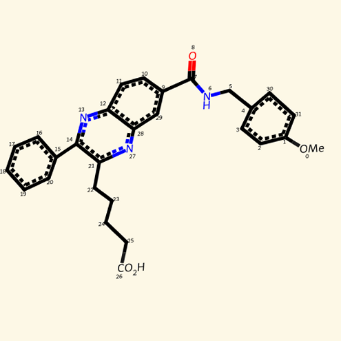 COc1ccc(CNC(=O)c2ccc3nc(-c4ccccc4)c(CCCCC(=O)O)nc3c2)cc1